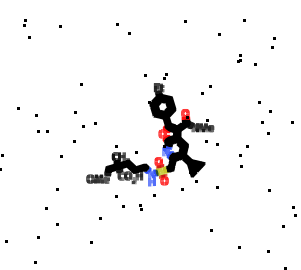 CCc1ccc(-c2oc3nc(CS(=O)(=O)NCCCC(C)(COC)C(=O)O)c(C4CC4)cc3c2C(=O)NC)cc1